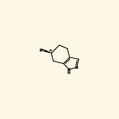 CC(C)[C@H]1CCc2cn[nH]c2C1